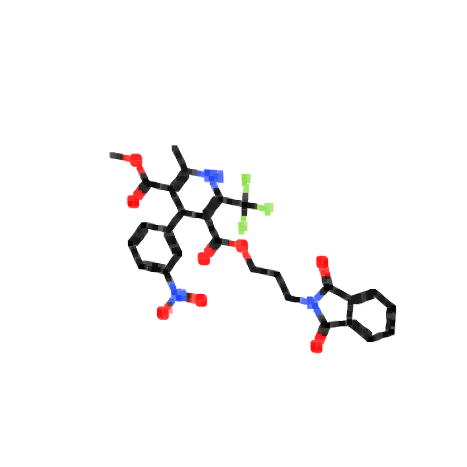 COC(=O)C1=C(C)NC(C(F)(F)F)=C(C(=O)OCCCN2C(=O)c3ccccc3C2=O)C1c1cccc([N+](=O)[O-])c1